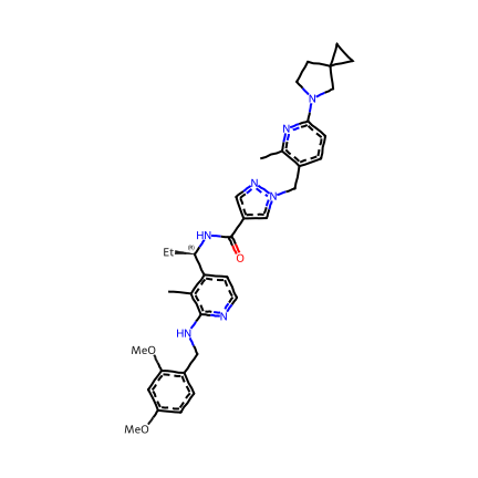 CC[C@@H](NC(=O)c1cnn(Cc2ccc(N3CCC4(CC4)C3)nc2C)c1)c1ccnc(NCc2ccc(OC)cc2OC)c1C